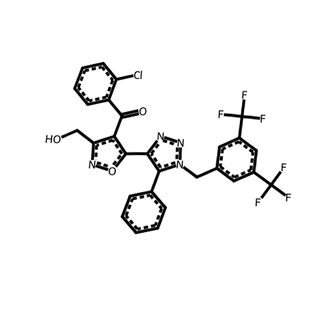 O=C(c1ccccc1Cl)c1c(CO)noc1-c1nnn(Cc2cc(C(F)(F)F)cc(C(F)(F)F)c2)c1-c1ccccc1